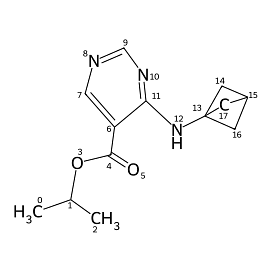 CC(C)OC(=O)c1cncnc1NC12CC(C1)C2